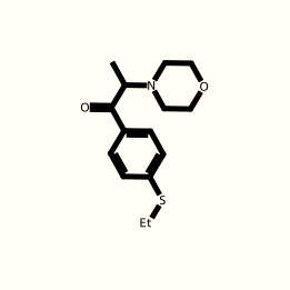 CCSc1ccc(C(=O)C(C)N2CCOCC2)cc1